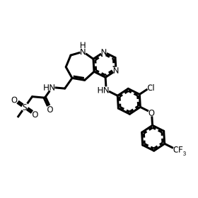 CS(=O)(=O)CC(=O)NCC1=Cc2c(ncnc2Nc2ccc(Oc3cccc(C(F)(F)F)c3)c(Cl)c2)NCC1